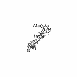 COc1ccc2nccc([C@@H]3CN(C[C@H](O)CNCc4ccc5c(n4)NC(=O)CS5)C(=O)O3)c2n1